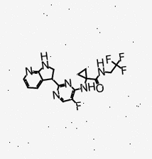 O=C(NCC(F)(F)F)C1(Nc2nc(C3CNc4ncccc43)ncc2F)CC1